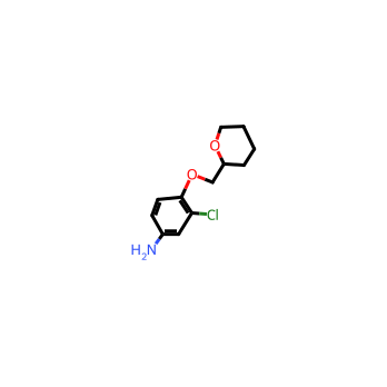 Nc1ccc(OCC2CCCCO2)c(Cl)c1